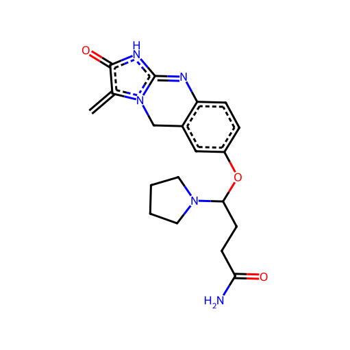 C=c1c(=O)[nH]c2n1Cc1cc(OC(CCC(N)=O)N3CCCC3)ccc1N=2